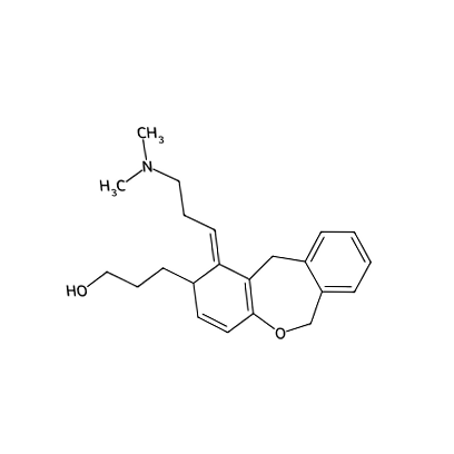 CN(C)CC/C=C1/C2=C(C=CC1CCCO)OCc1ccccc1C2